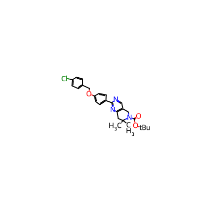 CC(C)(C)OC(=O)N1Cc2cnc(-c3ccc(OCc4ccc(Cl)cc4)cc3)nc2CC1(C)C